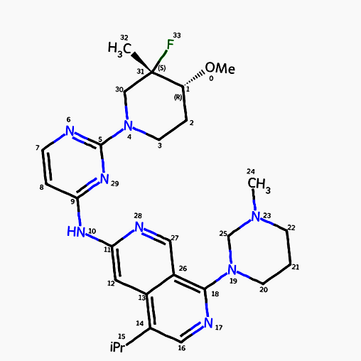 CO[C@@H]1CCN(c2nccc(Nc3cc4c(C(C)C)cnc(N5CCCN(C)C5)c4cn3)n2)C[C@]1(C)F